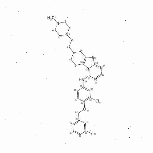 CN1CCN(CCC2CCc3c(sc4ncnc(Nc5ccc(OCc6cccc(F)c6)c(Cl)c5)c34)C2)CC1